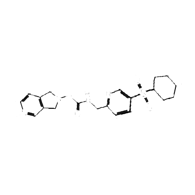 O=C(NCc1ccc(S(=O)(=O)C2CCCCC2)cn1)ON1Cc2ccncc2C1